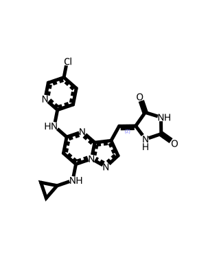 O=C1NC(=O)/C(=C/c2cnn3c(NC4CC4)cc(Nc4ccc(Cl)cn4)nc23)N1